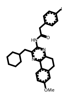 COc1ccc2c(c1)CCc1nc(NC(=O)Cc3ccc(I)cc3)c(CC3CCCCC3)nc1-2